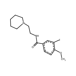 COc1ccc(C(=O)NCCN2CCCCC2)cc1I